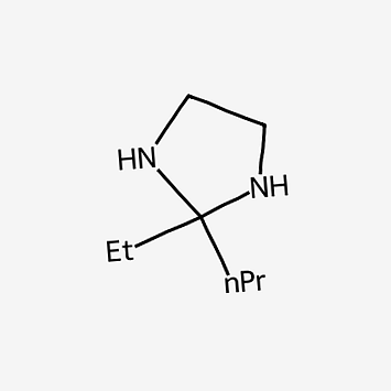 CCCC1(CC)NCCN1